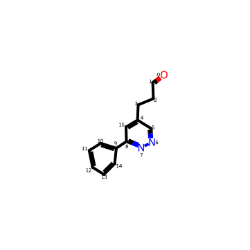 O=CCCc1cnnc(-c2ccccc2)c1